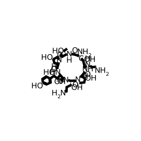 CC(O)[C@@H]1NC(=O)[C@@H](N)CC(O)C(NCCN)NC(=O)[C@@H]2C(O)CCN2C(=O)[C@H](C(O)CCN)NC(=O)[C@H]([C@H](O)C(O)c2ccc(O)cc2)NC(=O)[C@@H]2CC(O)CN2C1=O